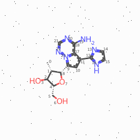 C[C@H]1C(O)[C@@H](CO)O[C@H]1c1cc(-c2ncc[nH]2)c2c(N)ncnn12